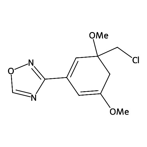 COC1=CC(c2ncon2)=CC(CCl)(OC)C1